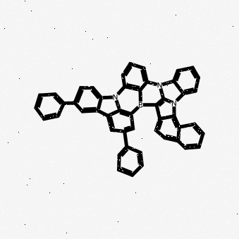 c1ccc(-c2ccc3c(c2)c2cc(-c4ccccc4)cc4c2n3-c2cccc3c2B4c2c4ccc5ccccc5c4n4c5ccccc5n-3c24)cc1